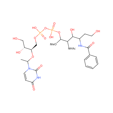 COC(OP(=O)(O)OP(=O)(O)OC[C@@H](OC(C)n1ccc(=O)[nH]c1=O)[C@H](O)CO)C(NC(C)=O)C(O)C(CCO)NC(=O)c1ccccc1